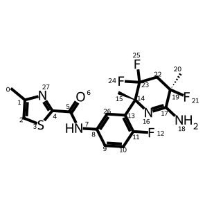 Cc1csc(C(=O)Nc2ccc(F)c([C@@]3(C)N=C(N)[C@](C)(F)CC3(F)F)c2)n1